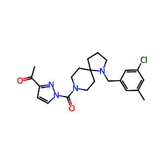 CC(=O)c1ccn(C(=O)N2CCC3(CCCN3Cc3cc(C)cc(Cl)c3)CC2)n1